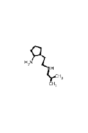 CC(C)CNCC[C@@H]1CCC[C@@H]1N